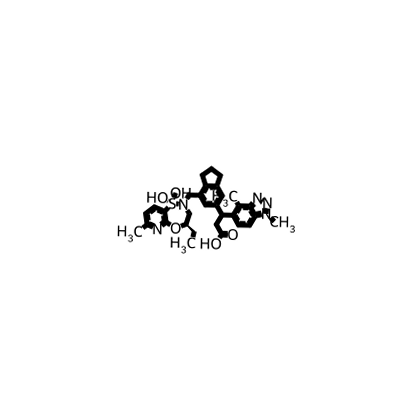 CC[C@@H]1CN(Cc2cc(C(CC(=O)O)c3ccc4c(nnn4C)c3C)cc3c2CCC3)S(O)(O)c2ccc(C)nc2O1